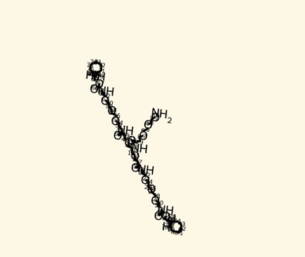 NOCCOCCOCCC(=O)NC(COCCC(=O)NCCOCCOCCOCCNC(=O)OCC1[C@H]2CCC#CCC[C@@H]12)COCCC(=O)NCCOCCOCCOCCNC(=O)OCC1[C@H]2CCC#CCC[C@@H]12